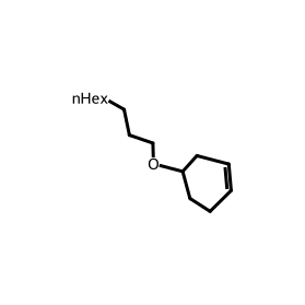 CCCCCCCCCOC1CC=CCC1